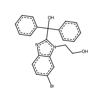 OCCn1c(C(O)(c2ccccc2)c2ccccc2)nc2ccc(Br)cc21